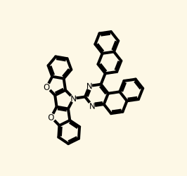 c1ccc2cc(-c3nc(-n4c5c6ccccc6oc5c5oc6ccccc6c54)nc4ccc5ccccc5c34)ccc2c1